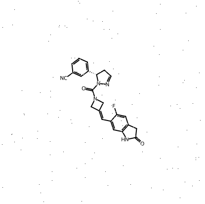 N#Cc1cccc([C@@H]2CC=NN2C(=O)N2CC(=Cc3cc4c(cc3F)CC(=O)N4)C2)c1